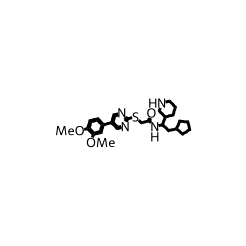 COc1ccc(-c2cnc(SCC(=O)NC(CC3CCCC3)C3CCCNC3)nc2)cc1OC